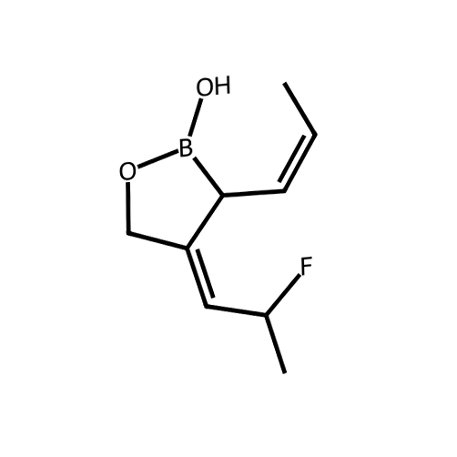 C/C=C\C1B(O)OC/C1=C/C(C)F